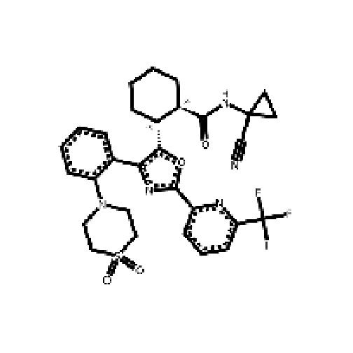 N#CC1(NC(=O)[C@@H]2CCCC[C@H]2c2oc(-c3cccc(C(F)(F)F)n3)nc2-c2ccccc2N2CCS(=O)(=O)CC2)CC1